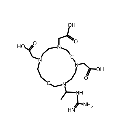 CC(NC(=N)N)N1CCCCN(CC(=O)O)CCN(CC(=O)O)CCN(CC(=O)O)CC1